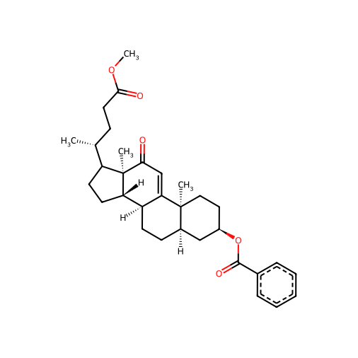 COC(=O)CC[C@@H](C)C1CC[C@H]2[C@@H]3CC[C@@H]4C[C@H](OC(=O)c5ccccc5)CC[C@]4(C)C3=CC(=O)[C@]12C